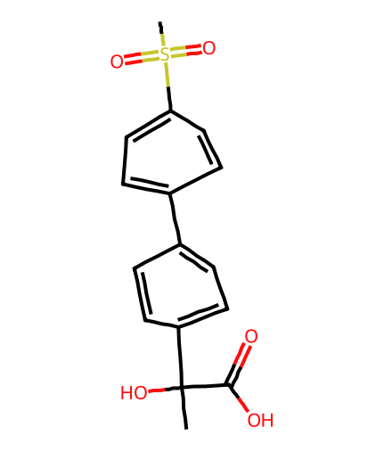 CC(O)(C(=O)O)c1ccc(-c2ccc(S(C)(=O)=O)cc2)cc1